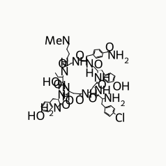 CNCCCC[C@@H]1NC(=O)[C@@H](Cc2ccc(C(N)=O)cc2)NC(=O)[C@H](Cc2ccc(O)cc2)NC(=O)[C@H](NC(=O)[C@@H](N)Cc2ccc(Cl)cc2)CNC(=O)C[C@@H](C(=O)N[C@H](Cc2ccc(O)cc2)C(N)=O)NC(=O)C(C(C)O)NC1=O